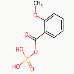 COc1ccccc1C(=O)OP(=O)(O)O